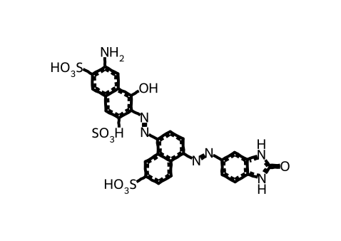 Nc1cc2c(O)c(N=Nc3ccc(N=Nc4ccc5[nH]c(=O)[nH]c5c4)c4ccc(S(=O)(=O)O)cc34)c(S(=O)(=O)O)cc2cc1S(=O)(=O)O